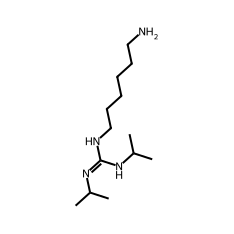 CC(C)N=C(NCCCCCCN)NC(C)C